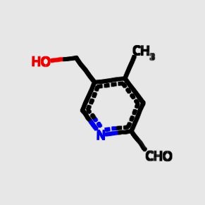 Cc1cc(C=O)ncc1CO